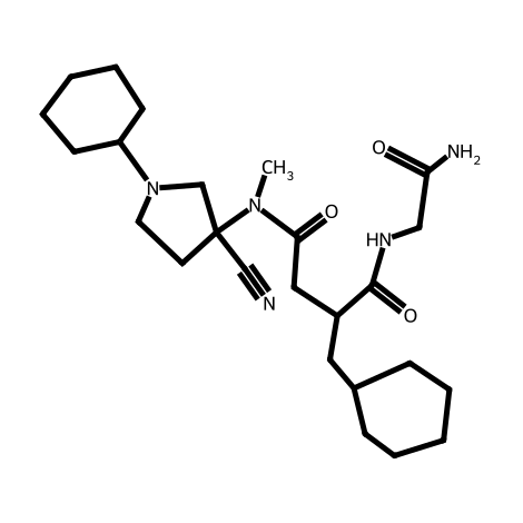 CN(C(=O)CC(CC1CCCCC1)C(=O)NCC(N)=O)C1(C#N)CCN(C2CCCCC2)C1